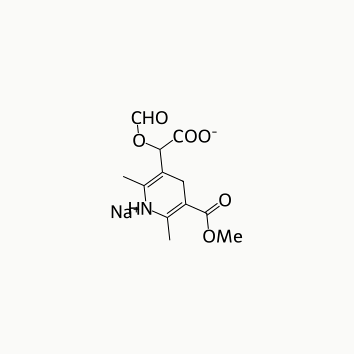 COC(=O)C1=C(C)NC(C)=C(C(OC=O)C(=O)[O-])C1.[Na+]